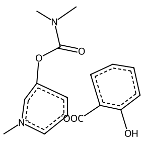 CN(C)C(=O)Oc1ccc[n+](C)c1.O=C([O-])c1ccccc1O